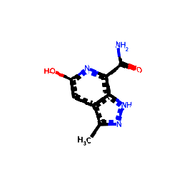 Cc1n[nH]c2c(C(N)=O)nc(O)cc12